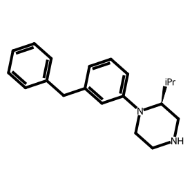 CC(C)[C@H]1CNCCN1c1cccc(Cc2ccccc2)c1